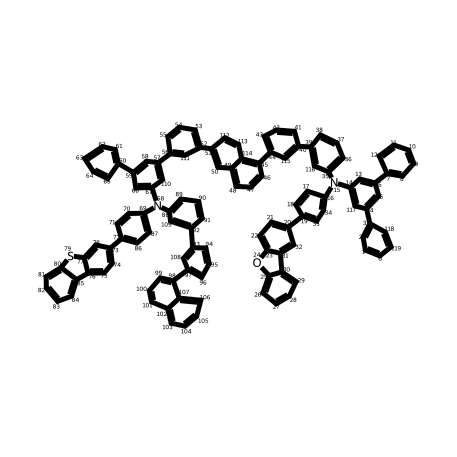 c1ccc(-c2cc(-c3ccccc3)cc(N(c3ccc(-c4ccc5oc6ccccc6c5c4)cc3)c3cccc(-c4cccc(-c5cccc6cc(-c7cccc(-c8cc(-c9ccccc9)cc(N(c9ccc(-c%10ccc%11c(c%10)sc%10ccccc%10%11)cc9)c9cccc(-c%10cccc(-c%11cccc%12ccccc%11%12)c%10)c9)c8)c7)ccc56)c4)c3)c2)cc1